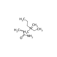 C=CC(N)=O.CCC[N+](C)(C)CC